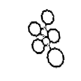 C1CCCCCC(N2C3CCCCCCCC3B3C4CCCCCCCC4N(C4CCCCCCCC4)C4CCCCCCC2C34)CCCCC1